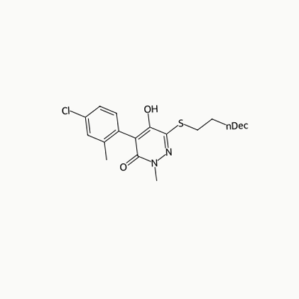 CCCCCCCCCCCCSc1nn(C)c(=O)c(-c2ccc(Cl)cc2C)c1O